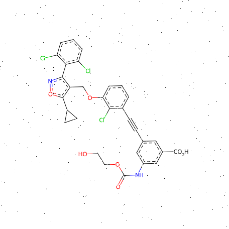 O=C(Nc1cc(C#Cc2cccc(OCc3c(-c4c(Cl)cccc4Cl)noc3C3CC3)c2Cl)cc(C(=O)O)c1)OCCO